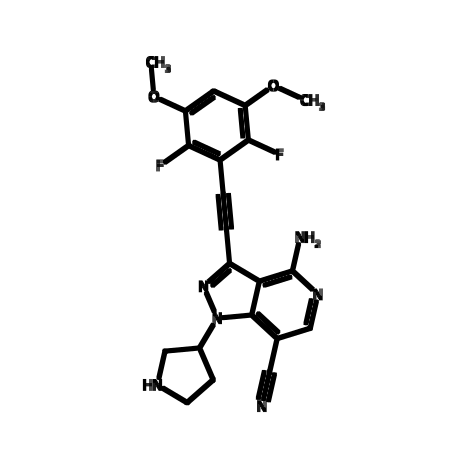 COc1cc(OC)c(F)c(C#Cc2nn(C3CCNC3)c3c(C#N)cnc(N)c23)c1F